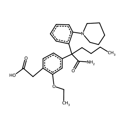 CCCCC(C(N)=O)(c1ccc(CC(=O)O)c(OCC)c1)c1ccccc1N1CCCCC1